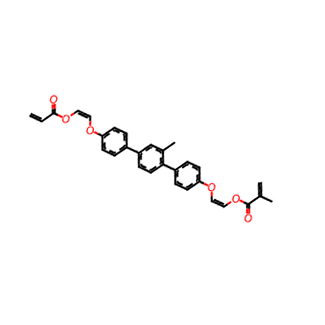 C=CC(=O)O/C=C\Oc1ccc(-c2ccc(-c3ccc(O/C=C\OC(=O)C(=C)C)cc3)c(C)c2)cc1